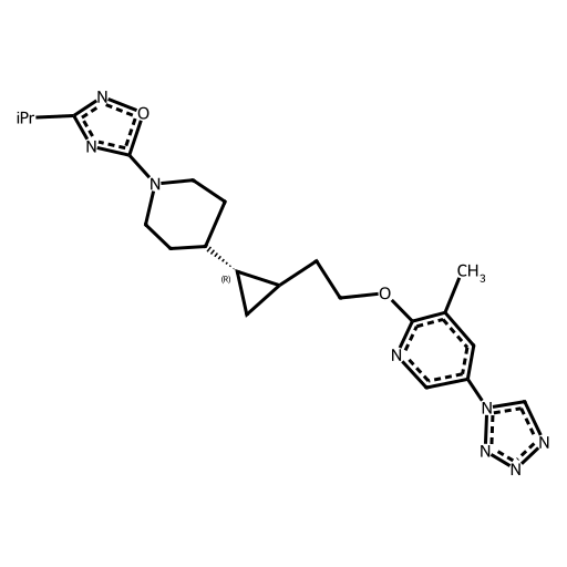 Cc1cc(-n2cnnn2)cnc1OCCC1C[C@@H]1C1CCN(c2nc(C(C)C)no2)CC1